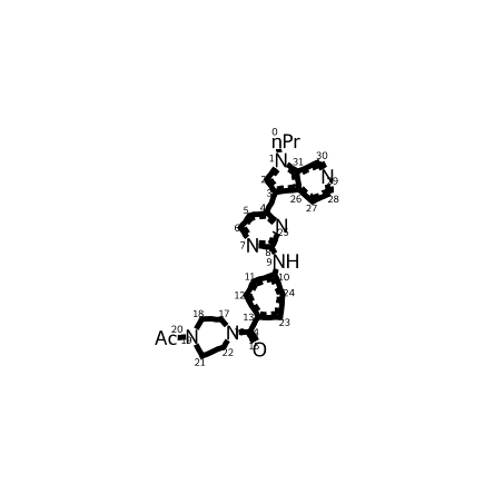 CCCn1cc(-c2ccnc(Nc3ccc(C(=O)N4CCN(C(C)=O)CC4)cc3)n2)c2ccncc21